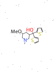 COC1CC(C(O)(c2cccs2)c2cccs2)CN(C)C1